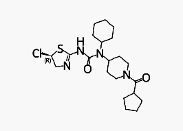 O=C(C1CCCC1)N1CCC(N(C(=O)NC2=NC[C@@H](Cl)S2)C2CCCCC2)CC1